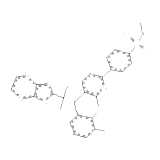 CCS(=O)(=O)c1ccc(-c2ccc3c(n2)Oc2c(F)cccc2[C@@H]3C(C)(C)c2nc3nccnc3[nH]2)cc1